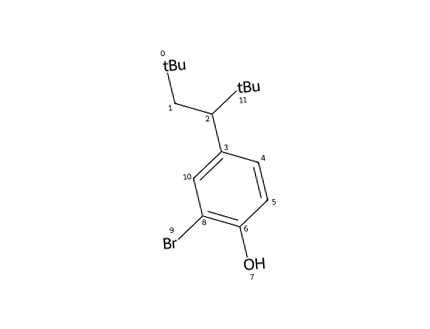 CC(C)(C)CC(c1ccc(O)c(Br)c1)C(C)(C)C